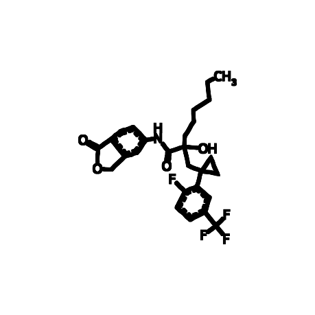 CCCCCCC(O)(CC1(c2cc(C(F)(F)F)ccc2F)CC1)C(=O)Nc1ccc2c(c1)COC2=O